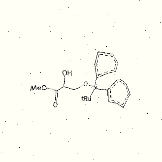 COC(=O)C(O)CO[Si](c1ccccc1)(c1ccccc1)C(C)(C)C